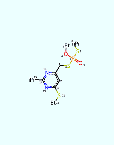 CCCSP(=O)(OCC)SCc1cc(SCC)nc(C(C)C)n1